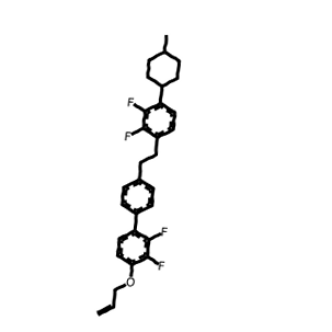 C=CCOc1ccc(-c2ccc(CCc3ccc(C4CCC(C)CC4)c(F)c3F)cc2)c(F)c1F